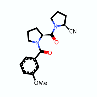 COc1cccc(C(=O)N2CCC[C@H]2C(=O)N2CCC[C@H]2C#N)c1